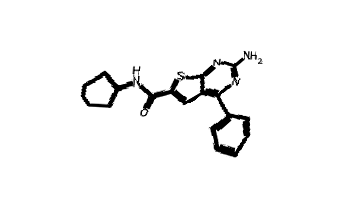 Nc1nc(-c2ccccc2)c2cc(C(=O)NC3CCCC3)sc2n1